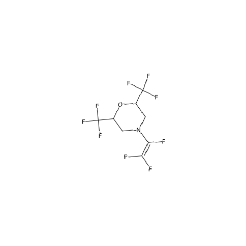 FC(F)=C(F)N1CC(C(F)(F)F)OC(C(F)(F)F)C1